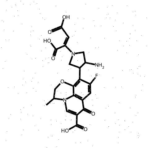 CC1COc2c(C3CN(C(=CC(=O)O)C(=O)O)CC3N)c(F)cc3c(=O)c(C(=O)O)cn1c23